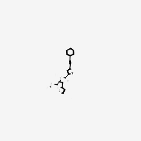 Cc1cc([C@H](O)[C@](C)(NCc2cc(C#Cc3ccccc3)on2)C(=O)NO)no1